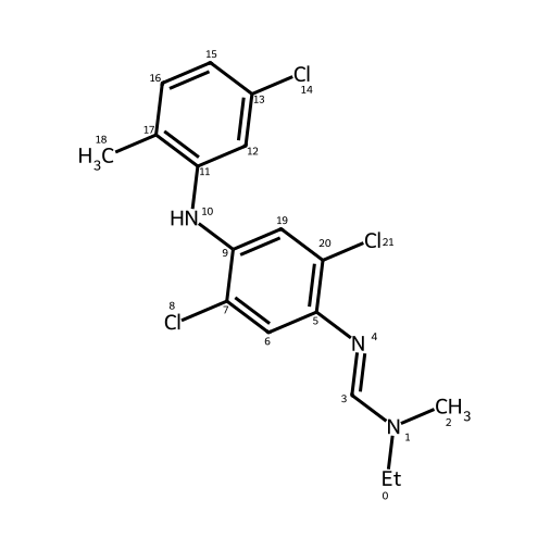 CCN(C)C=Nc1cc(Cl)c(Nc2cc(Cl)ccc2C)cc1Cl